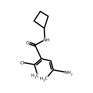 C/C(Cl)=C(\C=C(/C)N)C(=O)NC1CCC1